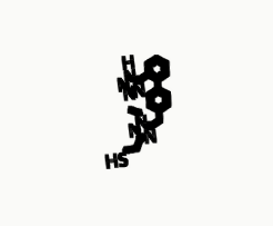 CCn1nc(CCS)nc1Cc1ccc(-c2ccccc2-c2nnn[nH]2)cc1